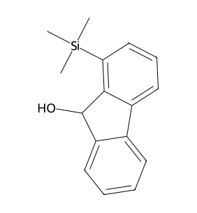 C[Si](C)(C)c1cccc2c1C(O)c1ccccc1-2